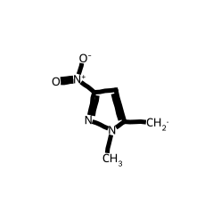 [CH2]c1cc([N+](=O)[O-])nn1C